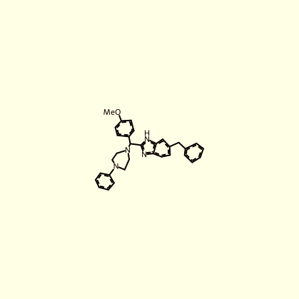 COc1ccc(C(c2nc3ccc(Cc4ccccc4)cc3[nH]2)N2CCN(c3ccccc3)CC2)cc1